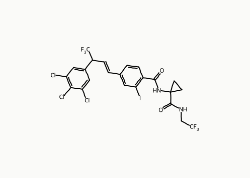 O=C(NC1(C(=O)NCC(F)(F)F)CC1)c1ccc(/C=C/C(c2cc(Cl)c(Cl)c(Cl)c2)C(F)(F)F)cc1I